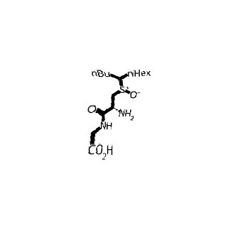 CCCCCCC(CCCC)[S+]([O-])C[C@H](N)C(=O)NCC(=O)O